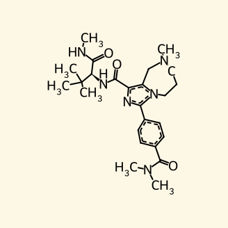 CNC(=O)[C@@H](NC(=O)c1nc(-c2ccc(C(=O)N(C)C)cc2)n2c1CN(C)CCC2)C(C)(C)C